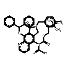 CC(C)C(=O)N(C(=O)OCC[Si](C)(C)C)c1c2c(c(OC(c3ccccc3)c3ccccc3)c3ncccc13)C(=O)N(Cc1ccc(F)cc1)C2